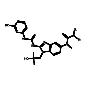 CCC(CC)C(=O)N(C)c1ccc2c(c1)nc(NC(=O)Nc1cccc(C#N)c1)n2CC(C)(C)O